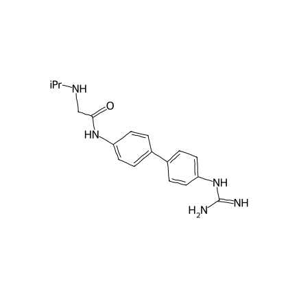 CC(C)NCC(=O)Nc1ccc(-c2ccc(NC(=N)N)cc2)cc1